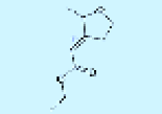 CCOC(=O)/C=C1\CCOC1C